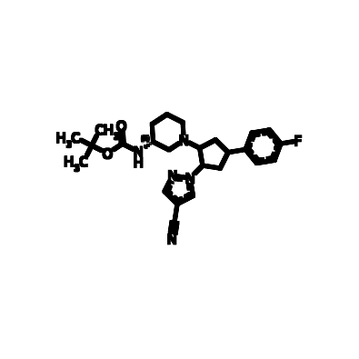 CC(C)(C)OC(=O)N[C@@H]1CCCN(C2CC(c3ccc(F)cc3)CC2n2cc(C#N)cn2)C1